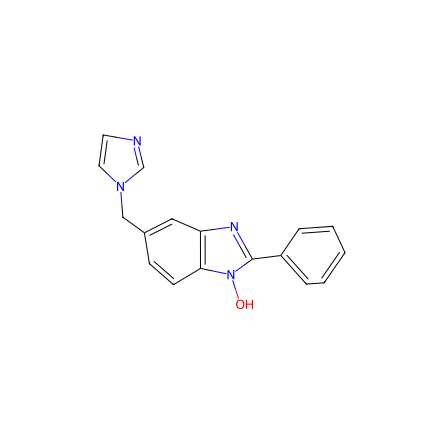 On1c(-c2ccccc2)nc2cc(Cn3ccnc3)ccc21